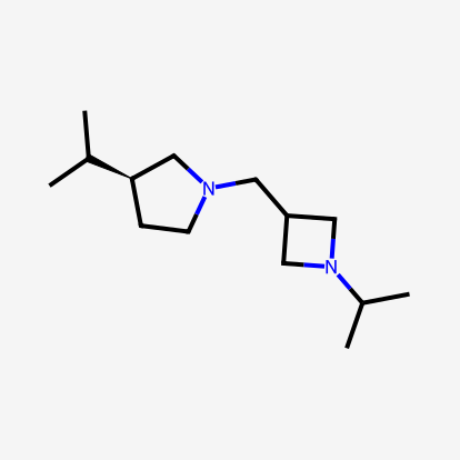 CC(C)[C@@H]1CCN(CC2CN(C(C)C)C2)C1